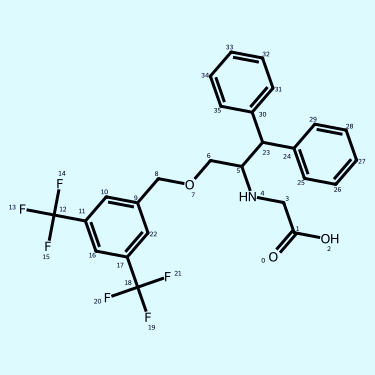 O=C(O)CNC(COCc1cc(C(F)(F)F)cc(C(F)(F)F)c1)C(c1ccccc1)c1ccccc1